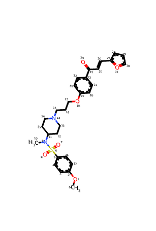 COc1ccc(S(=O)(=O)N(C)C2CCN(CCCOc3ccc(C(=O)/C=C/c4ccco4)cc3)CC2)cc1